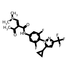 CC(=O)C(=CN(C)C)C(=O)Nc1cc(F)c(-n2nc(C(F)(F)F)cc2C2CC2)c(F)c1